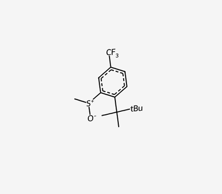 C[S+]([O-])c1cc(C(F)(F)F)ccc1C(C)(C)C(C)(C)C